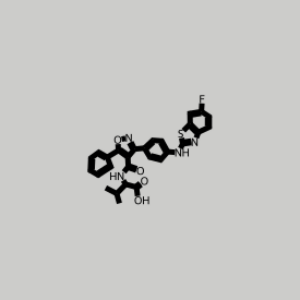 CC(C)C(NC(=O)c1c(-c2ccc(Nc3nc4ccc(F)cc4s3)cc2)noc1-c1ccccc1)C(=O)O